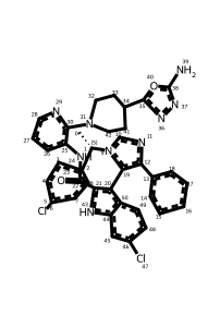 C[C@@H](c1ccc(Cl)cc1)n1cnc(-c2ccccc2)c1-c1c(C(=O)Nc2cccnc2N2CCC(c3nnc(N)o3)CC2)[nH]c2cc(Cl)ccc12